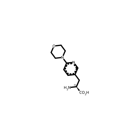 N[C@@H](Cc1ccc(N2CCOCC2)nc1)C(=O)O